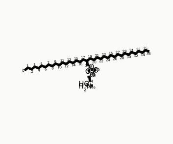 CCCCCCCCCCCCCCCCCCC(CCCCCCCCCCCCCCCCCC)COS(=O)(=O)OCCO.CN